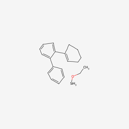 C1=C(c2ccccc2-c2ccccc2)CCCC1.CCO[SiH3]